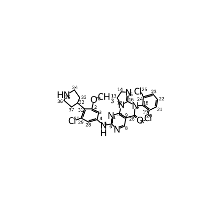 COc1cc(Nc2ncc3c(n2)N2CCN=C2N(c2c(Cl)cccc2Cl)C3=O)cc(Cl)c1C1CCNCC1